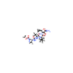 CC(C)OC(=O)NC[C@@H](NC(=O)N[C@H](C(=O)N1C[C@H]2[C@@H]([C@H]1C(=O)NC(CC1CC1)C(=O)C(N)=O)C2(C)C)C(C)(C)C)C(C)C